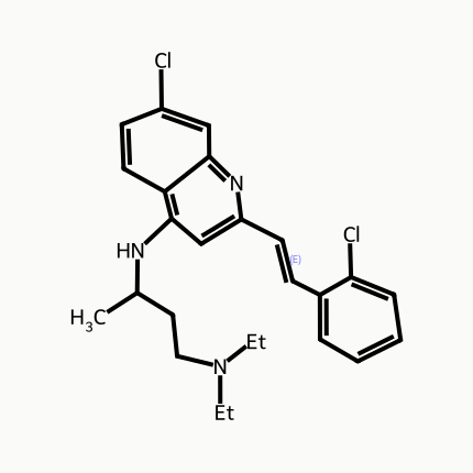 CCN(CC)CCC(C)Nc1cc(/C=C/c2ccccc2Cl)nc2cc(Cl)ccc12